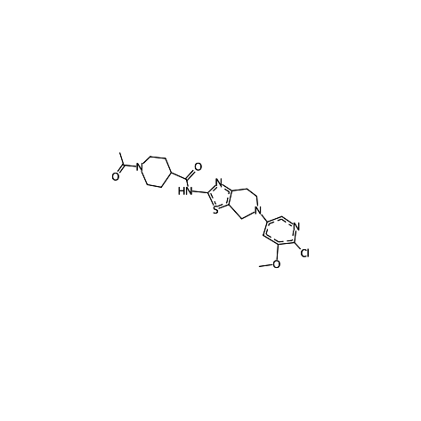 COc1cc(N2CCc3nc(NC(=O)C4CCN(C(C)=O)CC4)sc3C2)cnc1Cl